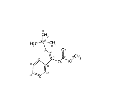 COC(=O)O/C(=C/C[Si](C)(C)C)c1ccccc1